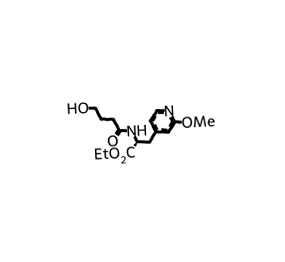 CCOC(=O)[C@H](Cc1ccnc(OC)c1)NC(=O)CCCO